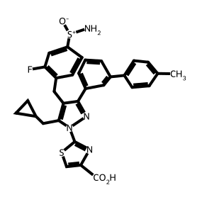 Cc1ccc(-c2cccc(-c3nn(-c4nc(C(=O)O)cs4)c(CC4CC4)c3Cc3ccc([S+](N)[O-])cc3F)c2)cc1